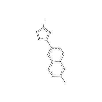 Cc1ccc2cc(-c3ccc(C)s3)ccc2c1